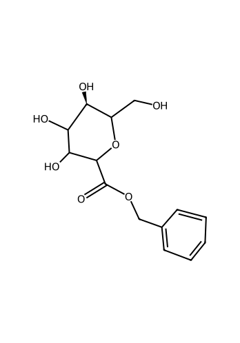 O=C(OCc1ccccc1)C1OC(CO)[C@H](O)C(O)C1O